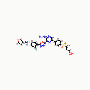 CC(CCO)S(=O)(=O)c1ccc(-c2cnc(N)c(-c3nnc(-c4ccc(CN[C@@H]5CCOC5)cc4F)o3)n2)cc1